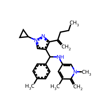 C=C(CCC)c1nn(C2CC2)cc1C(NC1=CN(C)C(=C)C(C)=C1)c1ccc(C)cc1